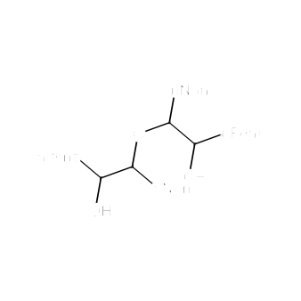 CCCCCCCCCC(OC(CCCCCCCCC)C(O)CCCCC)C(O)CCCCC